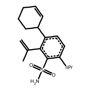 C=C(C)c1c(C2C=CCCC2)ccc(CCC)c1S(N)(=O)=O